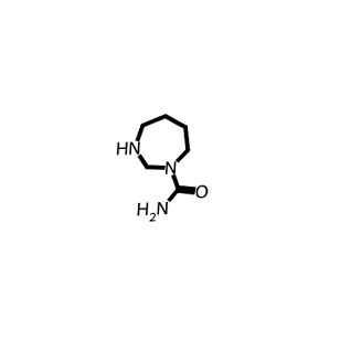 NC(=O)N1CCCCNC1